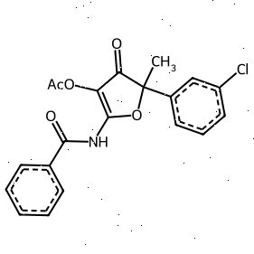 CC(=O)OC1=C(NC(=O)c2ccccc2)OC(C)(c2cccc(Cl)c2)C1=O